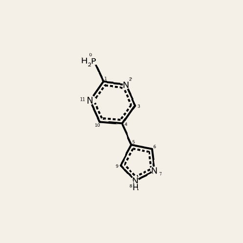 Pc1ncc(-c2cn[nH]c2)cn1